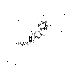 C=NNCc1ccc(-c2nncnn2)cc1